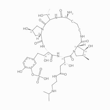 CC(C)NCCNC(=O)C[C@@H](O)[C@@H]1NC(=O)[C@H]([C@H](O)Cc2ccc(O)c(OS(=O)(=O)O)c2)NC(=O)[C@@H]2C[C@@H](O)CN2C(=O)C([C@@H](C)O)NC(=O)[C@@H](N)CCCNC(=O)[C@@H]2[C@@H](O)[C@@H](C)CN2C1=O